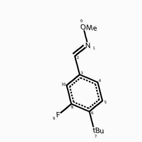 CON=Cc1ccc(C(C)(C)C)c(F)c1